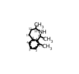 Cc1cccc2c1C(C)NC(C)CC2